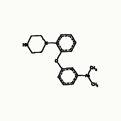 C[As](C)c1cccc(Oc2ccccc2N2CCNCC2)c1